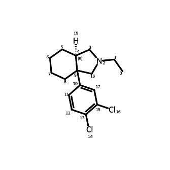 CCN1C[C@@H]2CCCCC2(c2ccc(Cl)c(Cl)c2)C1